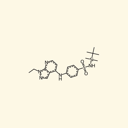 CCn1ncc2c(Nc3ccc(S(=O)(=O)N[Si](C)(C)C(C)(C)C)cc3)ccnc21